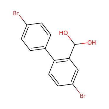 OC(O)c1cc(Br)ccc1-c1ccc(Br)cc1